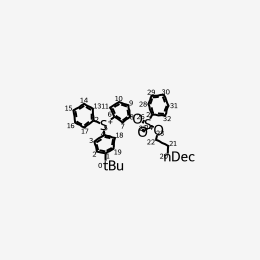 CC(C)(C)c1ccc([S+](c2ccccc2)c2ccccc2)cc1.CCCCCCCCCCCCOS(=O)(=O)c1ccccc1